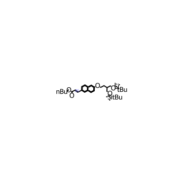 CCCCOC(=O)/C=C/c1ccc2cc(OCCC(CO[Si](C)(C)C(C)(C)C)CO[Si](C)(C)C(C)(C)C)ccc2c1